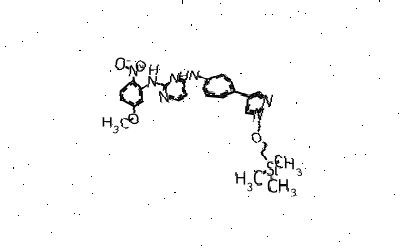 COc1ccc([N+](=O)[O-])c(Nc2nccc(Nc3ccc(-c4cnn(COCC[Si](C)(C)C)c4)cc3)n2)c1